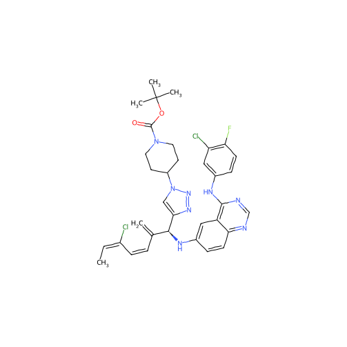 C=C(/C=C\C(Cl)=C/C)[C@H](Nc1ccc2ncnc(Nc3ccc(F)c(Cl)c3)c2c1)c1cn(C2CCN(C(=O)OC(C)(C)C)CC2)nn1